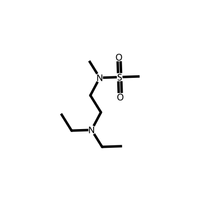 CCN(CC)CCN(C)S(C)(=O)=O